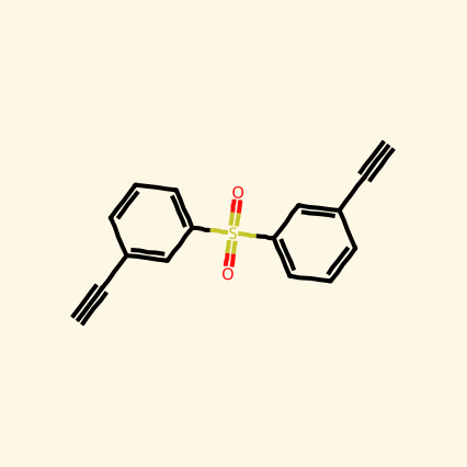 C#Cc1cccc(S(=O)(=O)c2cccc(C#C)c2)c1